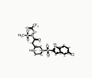 CS(=O)(=O)N(OC(=O)C(F)(F)F)C(=O)CC1CN(S(=O)(=O)c2cc3cc(Cl)ccc3[nH]2)CCN1